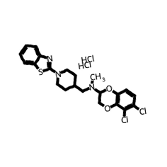 CN(CC1CCN(c2nc3ccccc3s2)CC1)C1COc2c(ccc(Cl)c2Cl)O1.Cl.Cl